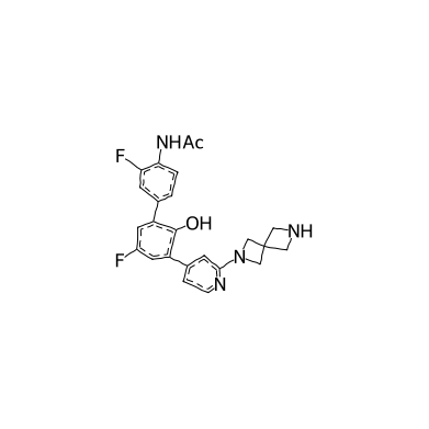 CC(=O)Nc1ccc(-c2cc(F)cc(-c3ccnc(N4CC5(CNC5)C4)c3)c2O)cc1F